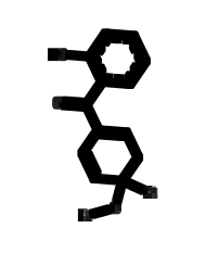 CCOC1(CC)C=CC(C(=O)c2ccccc2O)=CC1